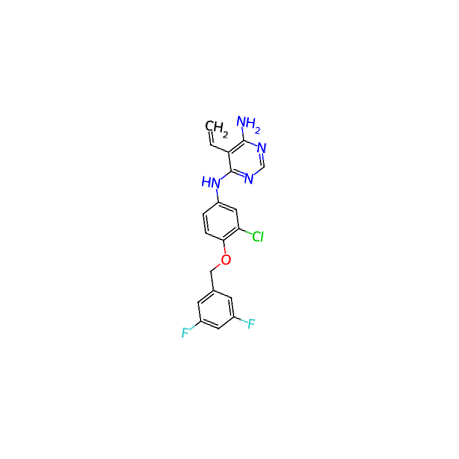 C=Cc1c(N)ncnc1Nc1ccc(OCc2cc(F)cc(F)c2)c(Cl)c1